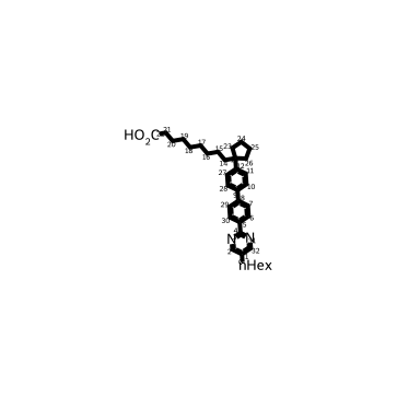 CCCCCCc1cnc(-c2ccc(-c3ccc(C4(CCCCCCCCC(=O)O)CCCC4)cc3)cc2)nc1